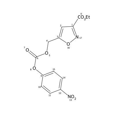 CCOC(=O)c1cc(COC(=O)Oc2ccc([N+](=O)[O-])cc2)on1